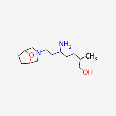 CC(CO)CCC(N)CCN1CC2CCC(C1)O2